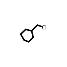 ClC[C]1CCCCC1